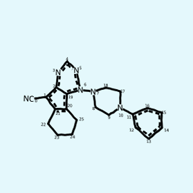 N#Cc1c2ncnn(N3CCN(c4ccccc4)CC3)c-2c2c1CCCC2